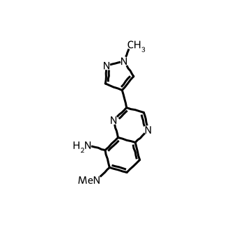 CNc1ccc2ncc(-c3cnn(C)c3)nc2c1N